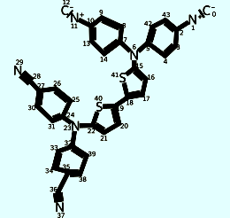 [C-]#[N+]c1ccc(N(c2ccc([N+]#[C-])cc2)c2ccc(-c3ccc(N(c4ccc(C#N)cc4)c4ccc(C#N)cc4)s3)s2)cc1